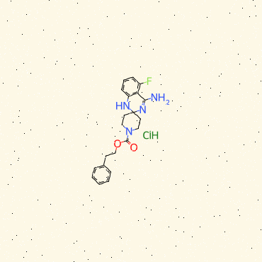 Cl.NC1=NC2(CCN(C(=O)OCCc3ccccc3)CC2)Nc2cccc(F)c21